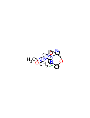 C=CC(=O)N1C[C@H](C)N(c2nc(=O)n3c4nc(c(F)cc24)-c2c(F)cccc2COCCc2ccnc(C(C)C)c2C3)C[C@H]1C